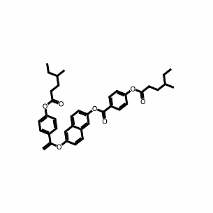 C=C(Oc1ccc2cc(OC(=O)c3ccc(OC(=O)CCC(C)CC)cc3)ccc2c1)c1ccc(OC(=O)CCC(C)CC)cc1